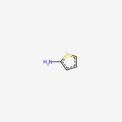 Nc1c[c]cs1